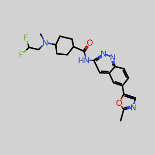 Cc1ncc(-c2ccc3nnc(NC(=O)C4CCC(N(C)CC(F)F)CC4)cc3c2)o1